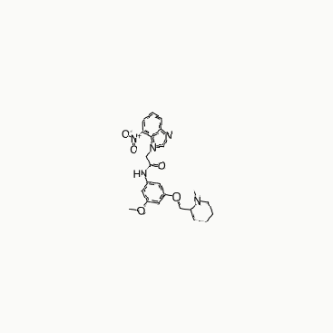 COc1cc(NC(=O)Cn2cnc3cccc([N+](=O)[O-])c32)cc(OCC2CCCCN2C)c1